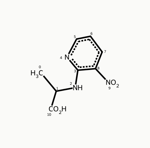 CC(Nc1ncccc1[N+](=O)[O-])C(=O)O